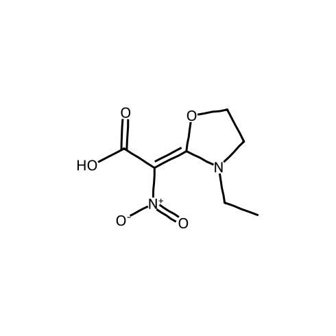 CCN1CCOC1=C(C(=O)O)[N+](=O)[O-]